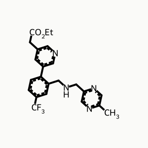 CCOC(=O)Cc1cncc(-c2ccc(C(F)(F)F)cc2CNCc2cnc(C)cn2)c1